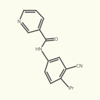 CC(C)c1ccc(NC(=O)c2cccnc2)cc1C#N